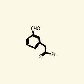 CC(C)C(=S)Cc1cccc(C=O)c1